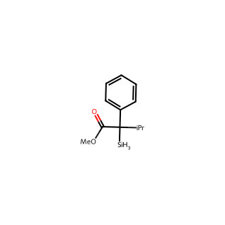 COC(=O)C([SiH3])(c1ccccc1)C(C)C